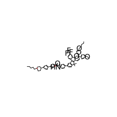 CCCCCC1CCC(c2ccc(-c3ccc(C(=O)Nc4ccc(-c5ccc6c(c5)-c5c(c7c(c8cc(C(F)(F)F)ccc58)OC(c5ccc(OC)cc5)(c5ccc(OCCCC)cc5)C=C7)C6(C)C)cc4)cc3)cc2)CC1